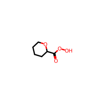 O=C(OO)C1CCCCO1